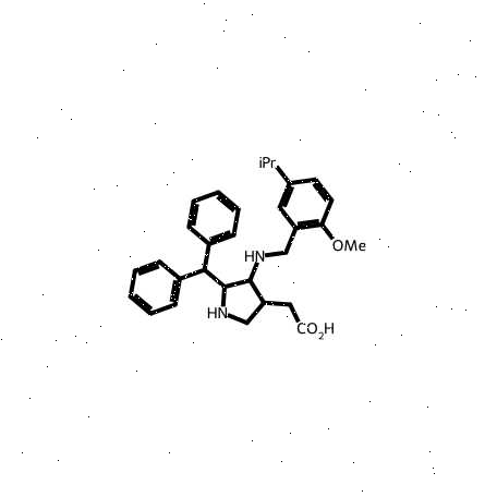 COc1ccc(C(C)C)cc1CNC1C(CC(=O)O)CNC1C(c1ccccc1)c1ccccc1